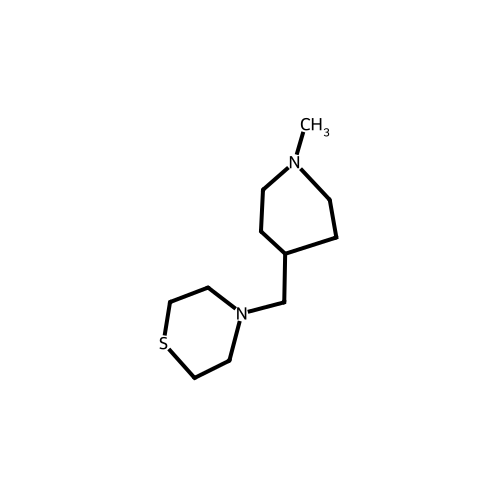 CN1CCC(CN2CCSCC2)CC1